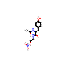 CC(=O)N[C@@H](Cc1ccc(O)cc1)C(=O)NCCO[N+](=O)[O-]